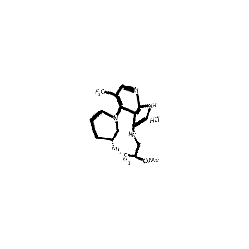 COC(C)CNc1c[nH]c2ncc(C(F)(F)F)c(N3CCC[C@@H](N)C3)c12.Cl